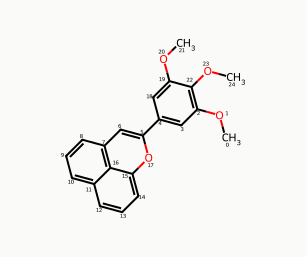 COc1cc(C2=Cc3cccc4cccc(c34)O2)cc(OC)c1OC